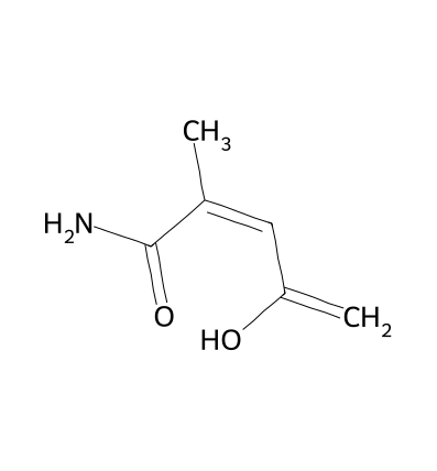 C=C(O)C=C(C)C(N)=O